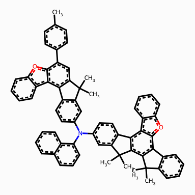 Cc1ccc(-c2cc3c(c4c2oc2ccccc24)-c2ccc(N(c4ccc5c(c4)C(C)(C)c4c6c(c7oc8ccccc8c7c4-5)-c4ccccc4C6(C)C)c4cccc5ccccc45)cc2C3(C)C)cc1